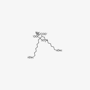 CCCCCCCCCCCCCCCCCCC(C(=O)[O-])C(CCCCCCCCCCCCCCCCCC)(C(=O)[O-])S(=O)(=O)O.[Na+].[Na+]